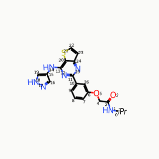 CC(C)NC(=O)COc1cccc(-c2nc(Nc3cn[nH]c3)c3sccc3n2)c1